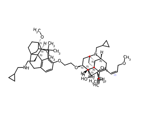 C#CC1=C(/C=C\COC)C[C@H]2N(CC3CC3)CC[C@@]13[C@H](O)[C@]1(OCCOc4ccc5c6c4O[C@@H]4[C@]7(OC)CCC(CC5)(CC7C(C)(C)C)[C@@]64CCNCC4CC4)CC[C@@]23C[C@@H]1[C@](C)(O)C(C)(C)C